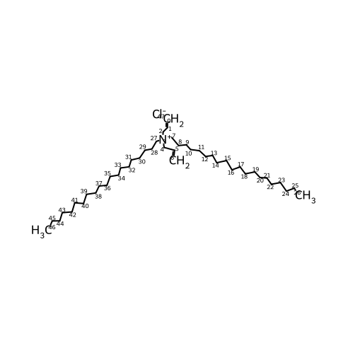 C=CC[N+](CC=C)(CCCCCCCCCCCCCCCCCCCC)CCCCCCCCCCCCCCCCCCCC.[Cl-]